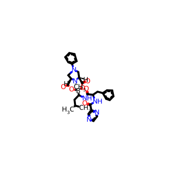 CC(C)CC(NC(=O)C(Cc1ccccc1)NC(=O)c1cnccn1)B1OC(=O)[C@H]2CN(c3ccccc3)C[C@H](C(=O)O1)N2C